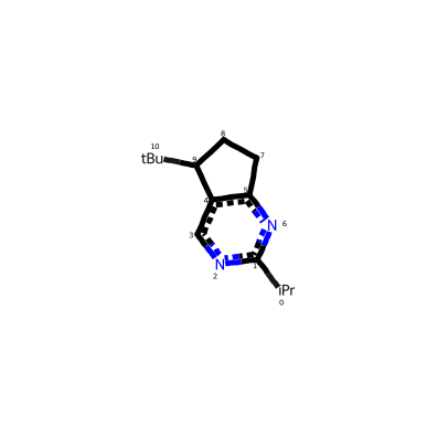 CC(C)c1ncc2c(n1)CCC2C(C)(C)C